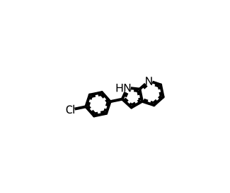 Clc1ccc(-c2cc3cccnc3[nH]2)cc1